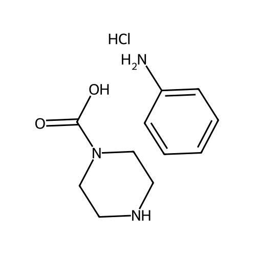 Cl.Nc1ccccc1.O=C(O)N1CCNCC1